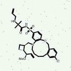 C=CCNC(C)(C)C(=O)NS(=O)(=O)c1ccc2c(c1)N(C[C@@H]1CC[C@H]1[C@@H](C=C)OC)CCCCc1cc(Cl)ccc1CO2